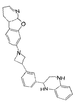 C1=NC2Oc3cc(N4CC(c5cccc(C6CNc7ccccc7N6)c5)C4)ccc3C2CC1